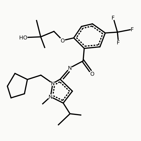 CC(C)c1cc(=NC(=O)c2cc(C(F)(F)F)ccc2OCC(C)(C)O)n(CC2CCCC2)n1C